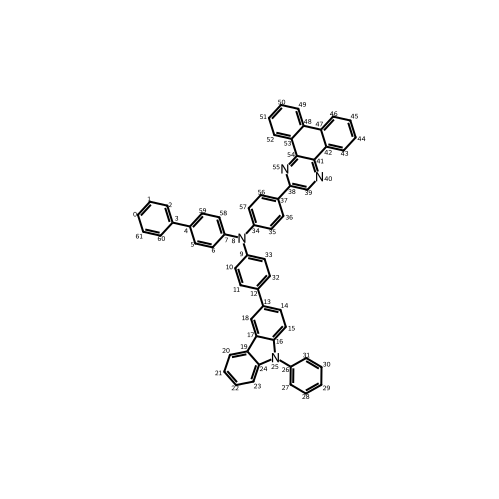 c1ccc(-c2ccc(N(c3ccc(-c4ccc5c(c4)c4ccccc4n5-c4ccccc4)cc3)c3ccc(-c4cnc5c6ccccc6c6ccccc6c5n4)cc3)cc2)cc1